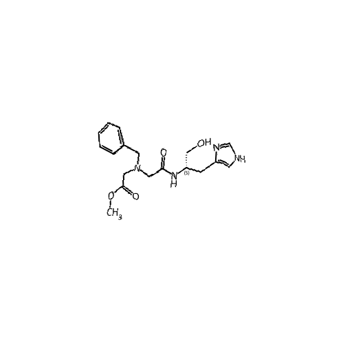 COC(=O)CN(CC(=O)N[C@H](CO)Cc1c[nH]cn1)Cc1ccccc1